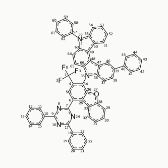 FC(F)(F)c1cc(-c2nc(-c3ccccc3)nc(-c3ccccc3)n2)c2c(oc3ccccc32)c1-n1c2ccc(-c3ccccc3)cc2c2c3c4ccccc4n(-c4ccccc4)c3ccc21